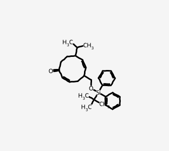 CC(C)C1C=CC(CO[Si](c2ccccc2)(c2ccccc2)C(C)(C)C)CC=CC(=O)CC1